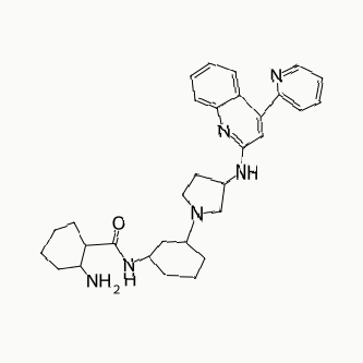 NC1CCCCC1C(=O)NC1CCCC(N2CCC(Nc3cc(-c4ccccn4)c4ccccc4n3)C2)C1